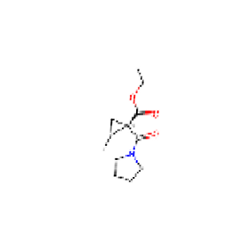 CCOC(=O)[C@]1(C(=O)N2CCCC2)CC1C